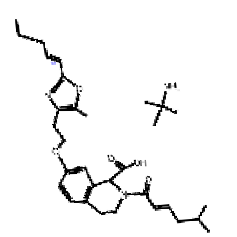 CC(C)(C)N.CCC/C=C/c1nc(CCOc2ccc3c(c2)C(C(=O)O)N(C(=O)C=CCC(C)C)CC3)c(C)o1